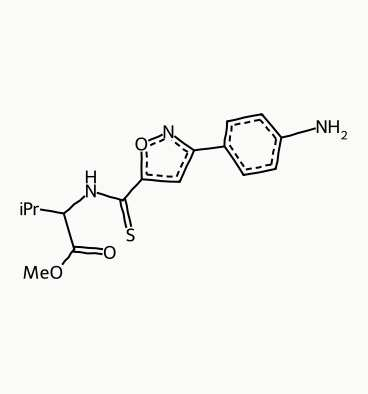 COC(=O)C(NC(=S)c1cc(-c2ccc(N)cc2)no1)C(C)C